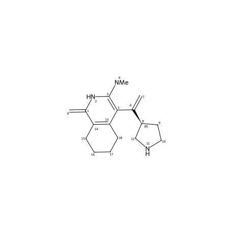 C=C1NC(NC)=C(C(=C)[C@H]2CCNC2)C2=C1CCCC2